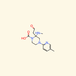 CNC1(CC=O)CN(c2ccc(C)cn2)CCN1C(=O)O